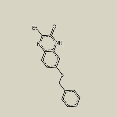 CCc1nc2ccc(SCc3ccccc3)cc2[nH]c1=O